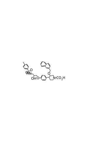 Cc1ccc(S(=O)(=O)NCC(O)COc2ccc(C3CCN(C(=O)O)CC3OCc3ccc4ccccc4c3)cc2)cc1